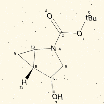 CC(C)(C)OC(=O)N1C[C@H](O)[C@@H]2CC21